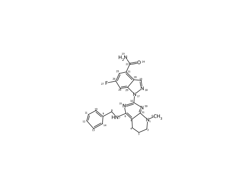 CN1CCCc2c(NCc3ccccc3)nc(-n3ncc4c(C(N)=O)cc(F)cc43)nc21